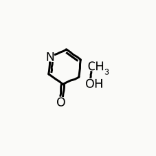 CO.O=C1C=NC=CC1